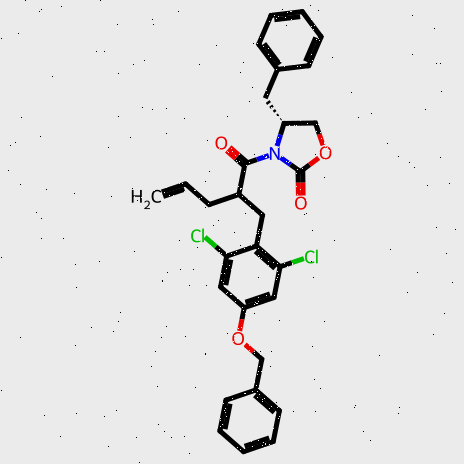 C=CCC(Cc1c(Cl)cc(OCc2ccccc2)cc1Cl)C(=O)N1C(=O)OC[C@H]1Cc1ccccc1